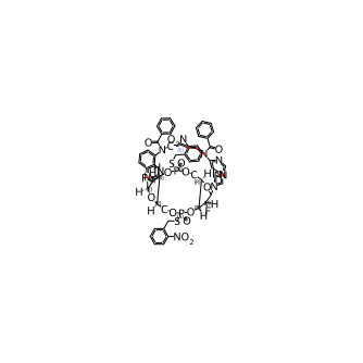 O=C(c1ccccc1)N1C/C=C/CN(C(=O)c2ccccc2)c2cccc3c2ncn3[C@@H]2O[C@@H]3CO[P@](=O)(SCc4ccccc4[N+](=O)[O-])O[C@@H]4[C@@H](CO[P@@](=O)(SCc5ccccc5[N+](=O)[O-])O[C@H]3[C@H]2F)OC([C@@H]4F)n2cnc3c1ncnc32